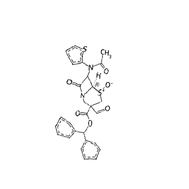 CC(=O)N(c1cccs1)C1C(=O)N2CC(C=O)(C(=O)OC(c3ccccc3)c3ccccc3)C[S+]([O-])[C@H]12